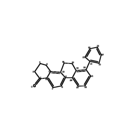 O=C1CCCc2c1ccc1c2CCc2c(-c3ccccc3)cccc2-1